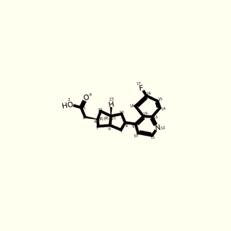 O=C(O)C[C@@H]1CC2CC(c3ccnc4ccc(F)cc34)C[C@H]2C1